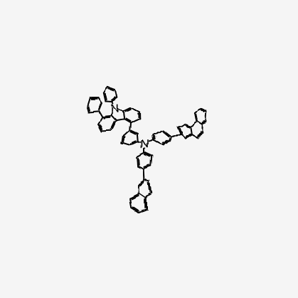 c1ccc(-c2cccc3c4c(-c5cccc(N(c6ccc(-c7ccc8ccccc8c7)cc6)c6ccc(-c7ccc8c(ccc9ccccc98)c7)cc6)c5)cccc4n(-c4ccccc4)c23)cc1